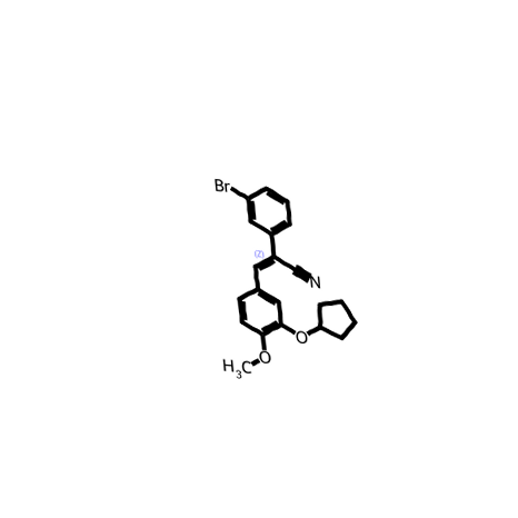 COc1ccc(/C=C(\C#N)c2cccc(Br)c2)cc1OC1CCCC1